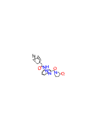 COC1CCCN(C(=O)c2cn3c(NC(=O)CC45CC6C[C@@H]6C6(CC6C4)C5)cccc3n2)C1